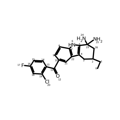 CCC1Cc2c([nH]c3ccc(C(=O)c4ccc(F)cc4Cl)cc23)C(N)(N)C1